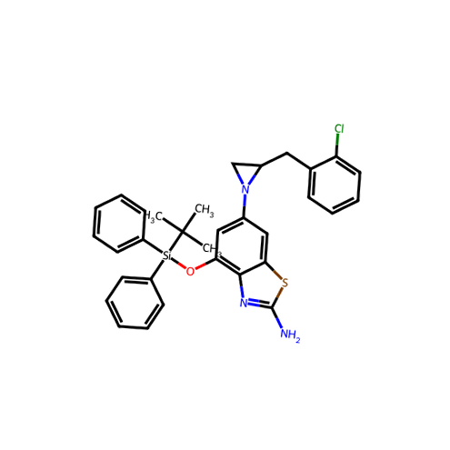 CC(C)(C)[Si](Oc1cc(N2CC2Cc2ccccc2Cl)cc2sc(N)nc12)(c1ccccc1)c1ccccc1